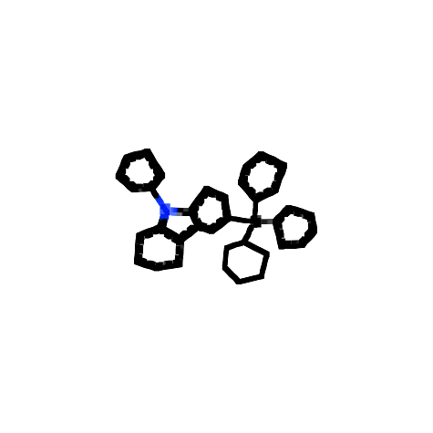 c1ccc(-n2c3ccccc3c3cc([Si](c4ccccc4)(c4ccccc4)C4CCCCC4)ccc32)cc1